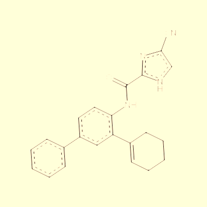 N#Cc1c[nH]c(C(=O)Nc2ccc(-c3ccccc3)cc2C2=CCCCC2)n1